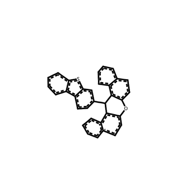 c1ccc2c3c(ccc2c1)Oc1ccc2ccccc2c1C3c1ccc2c(c1)sc1ccccc12